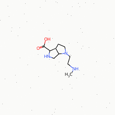 CNCCN1CCC2C(C(=O)O)NCC21